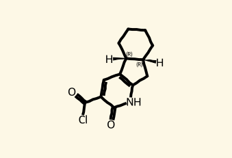 O=C(Cl)c1cc2c([nH]c1=O)C[C@H]1CCCC[C@@H]21